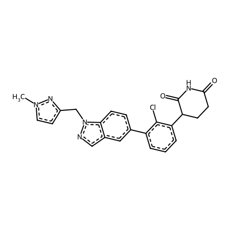 Cn1ccc(Cn2ncc3cc(-c4cccc(C5CCC(=O)NC5=O)c4Cl)ccc32)n1